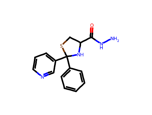 NNC(=O)C1CSC(c2ccccc2)(c2cccnc2)N1